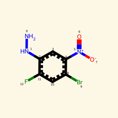 NNc1cc([N+](=O)[O-])c(Br)cc1F